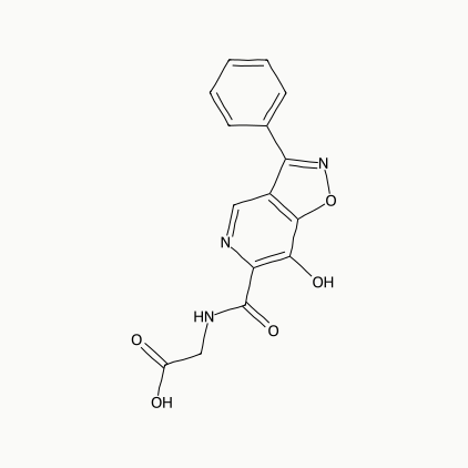 O=C(O)CNC(=O)c1ncc2c(-c3ccccc3)noc2c1O